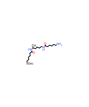 CCCCCCCCCCCCCCCC(=O)N[C@H](C)CCCCNC(=O)CCCCCN